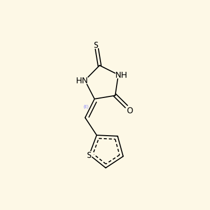 O=C1NC(=S)N/C1=C/c1cccs1